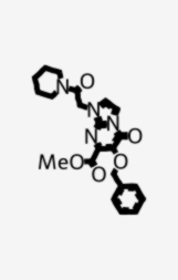 COC(=O)c1nc2n(CC(=O)N3CCCCC3)ccn2c(=O)c1OCc1ccccc1